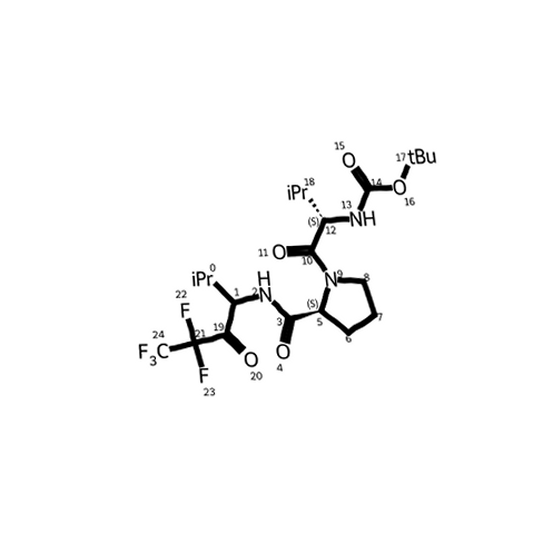 CC(C)C(NC(=O)[C@@H]1CCCN1C(=O)[C@@H](NC(=O)OC(C)(C)C)C(C)C)C(=O)C(F)(F)C(F)(F)F